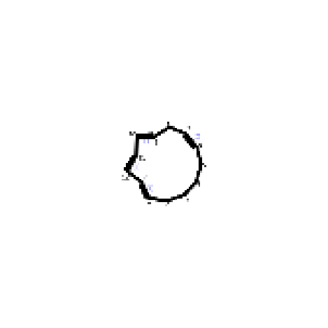 [C]1=C/CCCC/C=C\C/C=C/C=C/1